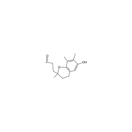 Cc1c(O)cc2c(c1C)OC(C)(CC[C]=O)CC2